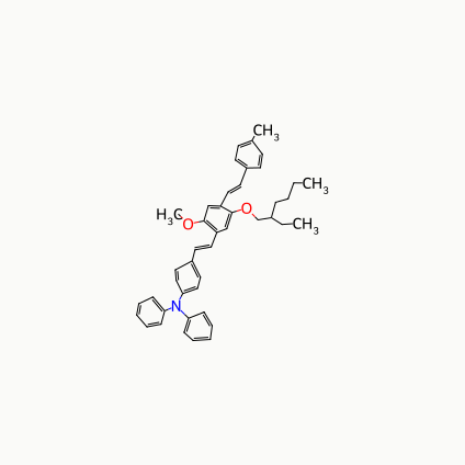 CCCCC(CC)COc1cc(/C=C/c2ccc(N(c3ccccc3)c3ccccc3)cc2)c(OC)cc1/C=C/c1ccc(C)cc1